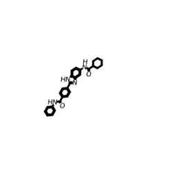 O=C(Nc1ccccc1)c1ccc(-c2nc3cc(NC(=O)C4CCCCC4)ccc3[nH]2)cc1